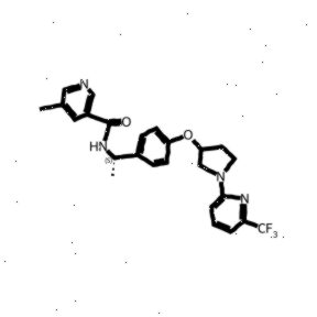 Cc1cncc(C(=O)N[C@@H](C)c2ccc(OC3CCN(c4cccc(C(F)(F)F)n4)C3)cc2)c1